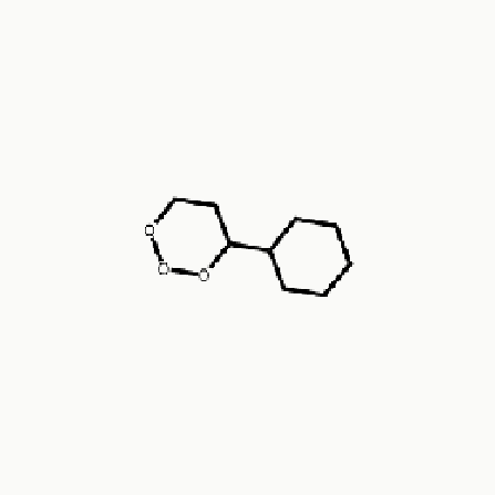 C1CCC(C2CCOOO2)CC1